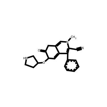 CN1C=C2CC(=O)C(OC3CCNC3)C=C2C(c2ccccc2)=C1C#N